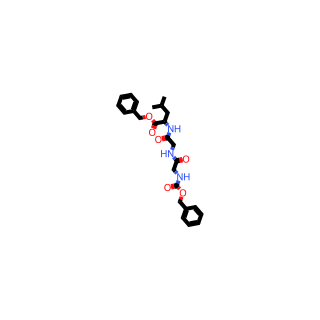 CC(C)CC(NC(=O)CNC(=O)CNC(=O)OCc1ccccc1)C(=O)OCc1ccccc1